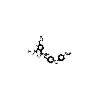 CCSc1ccc(Oc2ccc(CNC(=O)c3ccc(COC)nc3N)cc2)cc1